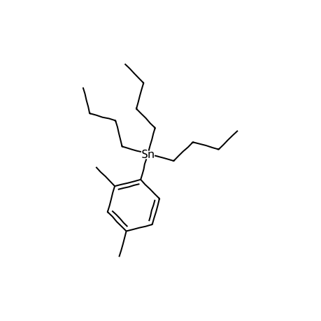 CCC[CH2][Sn]([CH2]CCC)([CH2]CCC)[c]1ccc(C)cc1C